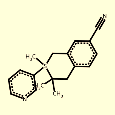 CC1(C)Cc2ccc(C#N)cc2CS1(C)c1cccnc1